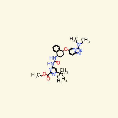 CCOC(=O)c1nc(NC(=O)NC2CCC(Oc3ccc4nnc(N(CC)CC)n4c3)c3ccccc32)cc(C(C)(C)C)n1